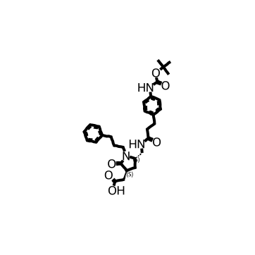 CC(C)(C)OC(=O)Nc1ccc(CCC(=O)NC[C@@H]2C[C@@H](CC(=O)O)C(=O)N2CCCc2ccccc2)cc1